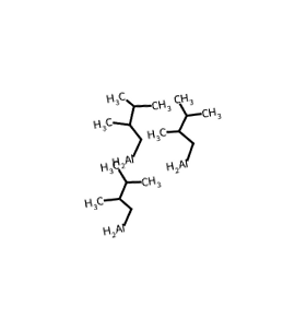 CC(C)C(C)[CH2][AlH2].CC(C)C(C)[CH2][AlH2].CC(C)C(C)[CH2][AlH2]